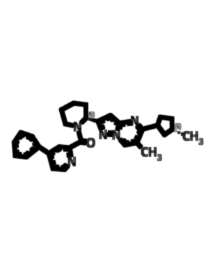 Cc1cn2nc([C@@H]3CCCCN3C(=O)c3cc(-c4ccccc4)ccn3)cc2nc1C1CC[C@H](C)C1